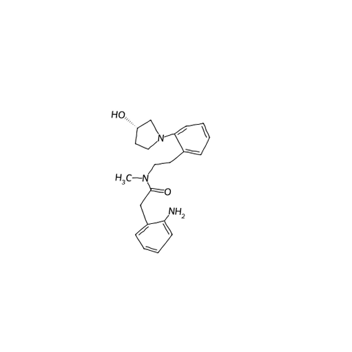 CN(CCc1ccccc1N1CC[C@H](O)C1)C(=O)Cc1ccccc1N